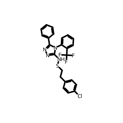 FC(F)(F)c1ccccc1-n1c(NSCCc2ccc(Cl)cc2)nnc1-c1ccccc1